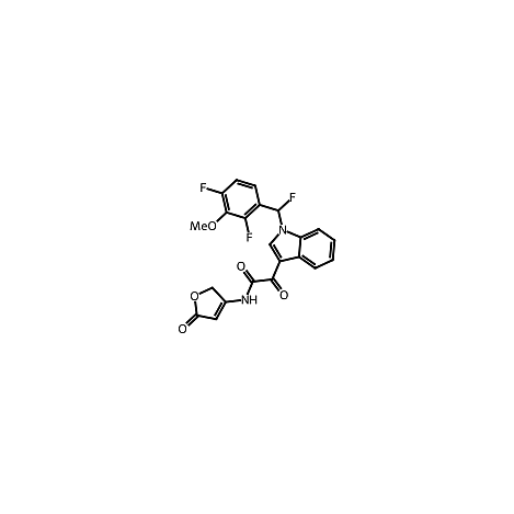 COc1c(F)ccc(C(F)n2cc(C(=O)C(=O)NC3=CC(=O)OC3)c3ccccc32)c1F